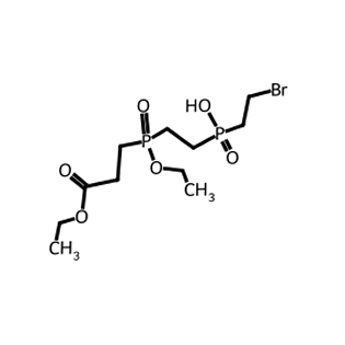 CCOC(=O)CCP(=O)(CCP(=O)(O)CCBr)OCC